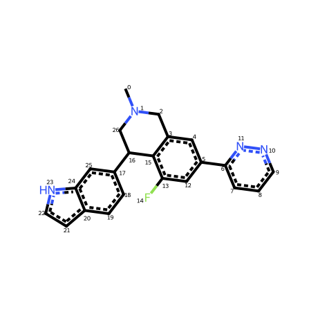 CN1Cc2cc(-c3cccnn3)cc(F)c2C(c2ccc3cc[nH]c3c2)C1